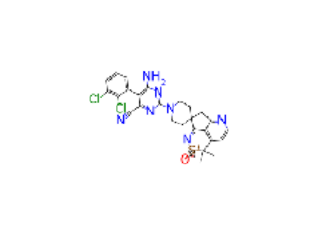 CC1(C)c2ccnc3c2C(=N[S@+]1[O-])C1(CCN(c2nc(N)c(-c4cccc(Cl)c4Cl)c(C#N)n2)CC1)C3